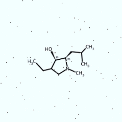 CCC1CN(C)[C@H](CC(C)C)[C@@H]1O